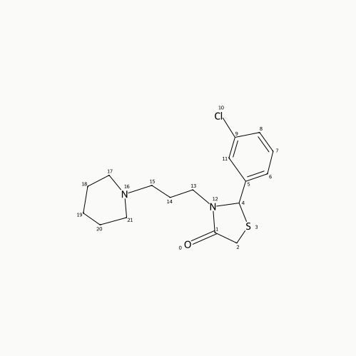 O=C1CSC(c2cccc(Cl)c2)N1CCCN1CCCCC1